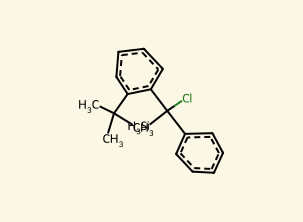 CC(C)(C)c1ccccc1C([SiH3])(Cl)c1ccccc1